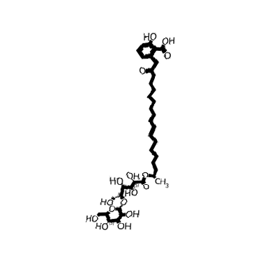 CC(CCCCCCCCCCCCCCCC(=O)Cc1cccc(O)c1C(=O)O)OC(=O)[C@@H](O)[C@@H](O)[C@H](O)[C@@H](CO)O[C@@H]1OC(CO)[C@@H](O)C(O)C1O